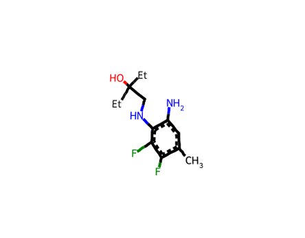 CCC(O)(CC)CNc1c(N)cc(C)c(F)c1F